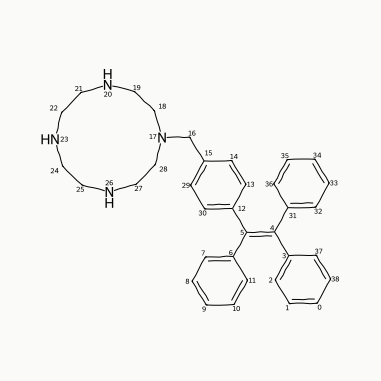 c1ccc(C(=C(c2ccccc2)c2ccc(CN3CCNCCNCCNCC3)cc2)c2ccccc2)cc1